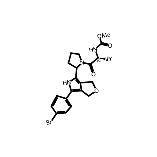 COC(=O)N[C@H](C(=O)N1CCCC1c1[nH]c(-c2ccc(Br)cc2)c2c1COC2)C(C)C